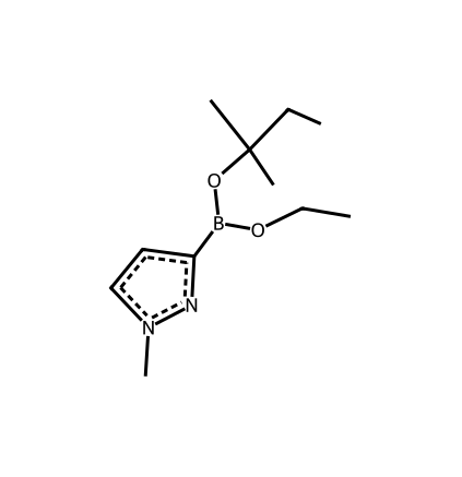 CCOB(OC(C)(C)CC)c1ccn(C)n1